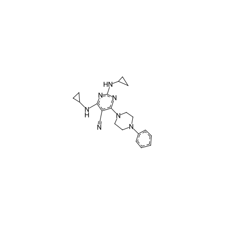 N#Cc1c(NC2CC2)nc(NC2CC2)nc1N1CCN(c2ccccc2)CC1